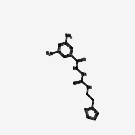 O=C(NCCc1cccs1)NNC(=O)c1cc([N+](=O)[O-])cc([N+](=O)[O-])c1